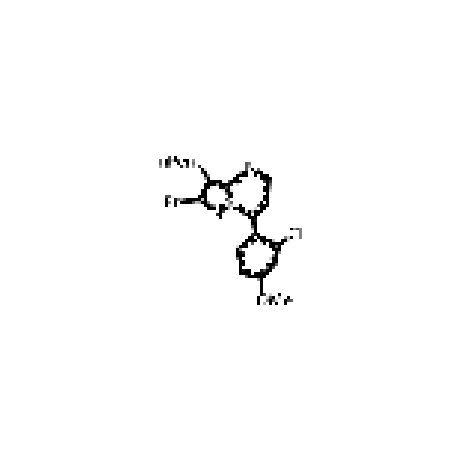 CCCCCc1c(CC)nn2c(-c3ccc(OC)cc3Cl)ccnc12